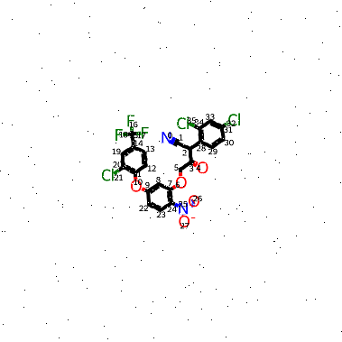 N#CC(C(=O)COc1cc(Oc2ccc(C(F)(F)F)cc2Cl)ccc1[N+](=O)[O-])c1ccc(Cl)cc1Cl